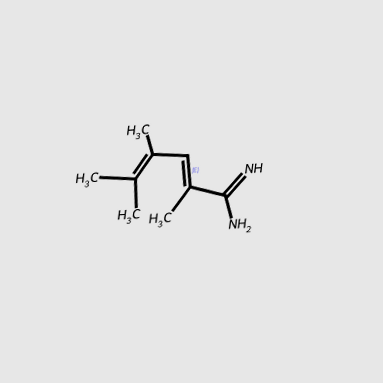 CC(C)=C(C)/C=C(\C)C(=N)N